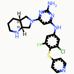 Nc1nc(Nc2cc(F)c(Sc3ccncc3)c(Cl)c2)cc(N2C[C@H]3CCCN[C@H]3C2)n1